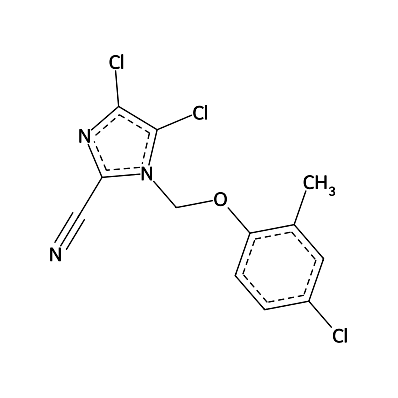 Cc1cc(Cl)ccc1OCn1c(C#N)nc(Cl)c1Cl